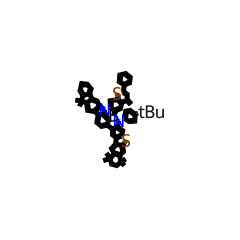 C=C1C=C(c2ccccc2)Sc2cc3c(cc21)B1c2c(ccc4c5cc6c(cc5n-3c24)-c2ccccc2C6(C)C)-c2cc3c(cc2N1c1ccc(C(C)(C)C)cc1)sc1cc2c(cc13)C(C)(C)CCC2(C)C